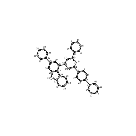 c1ccc(-c2ccc(-c3nc(-c4ccccc4)cc(-c4cc(-c5ccccc5)cc5sc6ccccc6c45)n3)cc2)cc1